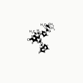 COc1nc(Cl)c(F)c2nc(OC[C@@]34CCCN3C[C@H](F)C4)nc(N(C)[C@@H]3CCN(C(=O)OC(C)(C)C)C3)c12